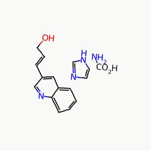 NC(=O)O.OCC=Cc1cnc2ccccc2c1.c1c[nH]cn1